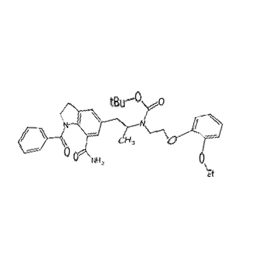 CCOc1ccccc1OCCN(C(=O)OC(C)(C)C)C(C)Cc1cc2c(c(C(N)=O)c1)N(C(=O)c1ccccc1)CC2